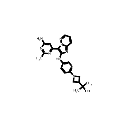 Cc1nc(N)cc(-c2c(Nc3ccc(N4CC(C(C)(C)O)C4)nc3)nc3cccnn23)n1